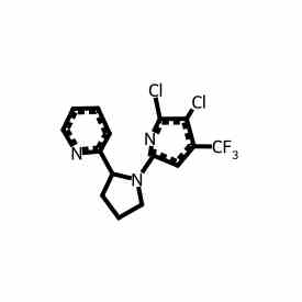 FC(F)(F)c1cc(N2CCCC2c2ccccn2)nc(Cl)c1Cl